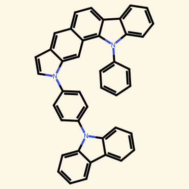 c1ccc(-n2c3ccccc3c3ccc4cc5ccn(-c6ccc(-n7c8ccccc8c8ccccc87)cc6)c5cc4c32)cc1